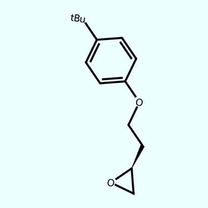 CC(C)(C)c1ccc(OCC[C@H]2CO2)cc1